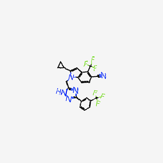 N#Cc1ccc2c(cc(C3CC3)n2Cc2nc(-c3cccc(C(F)(F)F)c3)n[nH]2)c1C(F)(F)F